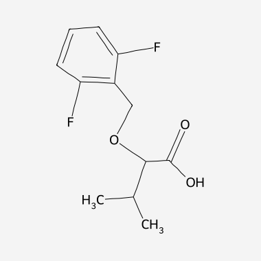 CC(C)C(OCc1c(F)cccc1F)C(=O)O